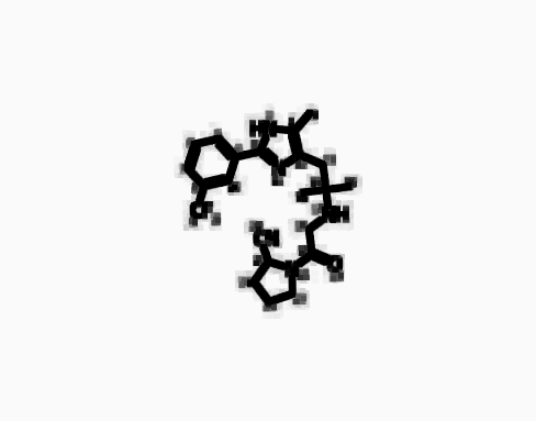 Cc1[nH]c(-c2cccc(C(F)(F)F)c2)nc1CC(C)(C)NCC(=O)N1CCCC1C#N